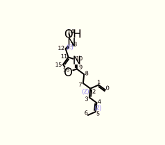 C=C/C(=C\C=C/C)CCc1nc(/C=N/O)co1